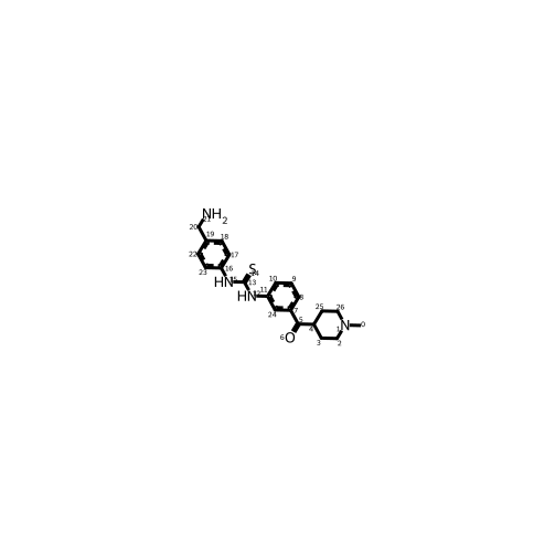 CN1CCC(C(=O)c2cccc(NC(=S)Nc3ccc(CN)cc3)c2)CC1